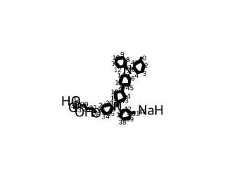 Cc1cccc(N(c2ccccc2)c2ccc(-c3ccc(N(c4ccc(OCCCP(=O)(O)O)cc4)c4cccc(C)c4)cc3)cc2)c1.[NaH]